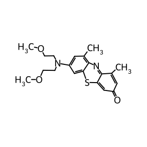 COCCN(CCOC)c1cc(C)c2nc3c(C)cc(=O)cc-3sc2c1